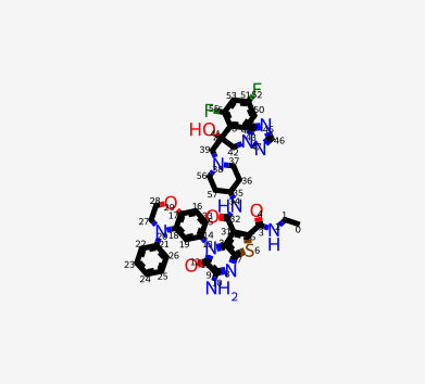 CCNC(=O)c1sc2nc(N)c(=O)n(-c3ccc4c(c3)N(c3ccccc3)CCO4)c2c1C(=O)NC1CCN(CC(O)(Cn2cncn2)c2ccc(F)cc2F)CC1